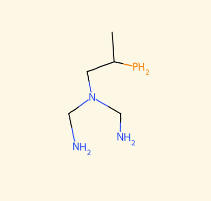 CC(P)CN(CN)CN